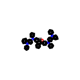 C1=CC2C(=c3ccccc3=C3C4=CC=C(N(c5ccccc5)c5ccc6c(c5)c5ccccc5n6-c5ccccc5)CC4O[C@@H]32)C=C1N(c1ccccc1)c1ccc2c(c1)c1ccccc1n2-c1ccccc1